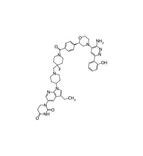 CCc1cn(C2CCN(CC3(F)CCN(C(=O)c4ccc([C@@H]5CN(c6cc(-c7ccccc7O)nnc6N)CCO5)cc4)CC3)CC2)c2ncc(N3CCC(=O)NC3=O)cc12